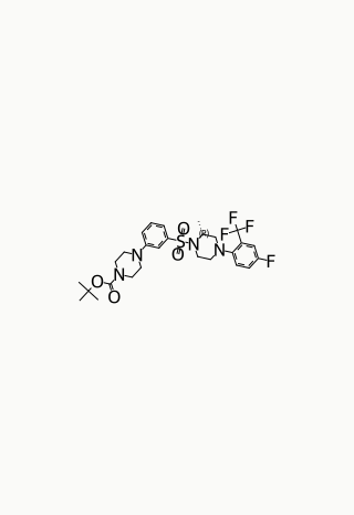 C[C@@H]1CN(c2ccc(F)cc2C(F)(F)F)CCN1S(=O)(=O)c1cccc(N2CCN(C(=O)OC(C)(C)C)CC2)c1